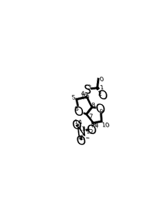 CC(=O)S[C@H]1COC2C1OC[C@H]2O[N+](=O)[O-]